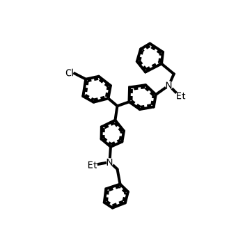 CCN(Cc1ccccc1)c1ccc(C(c2ccc(Cl)cc2)c2ccc(N(CC)Cc3ccccc3)cc2)cc1